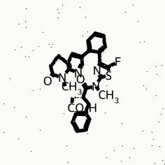 CN(C(=O)[C@@H](CC(=O)O)Cc1ccccc1)c1nc(-c2ccccc2-c2cnc3c(c2)CCC(=O)N3C)c(F)s1